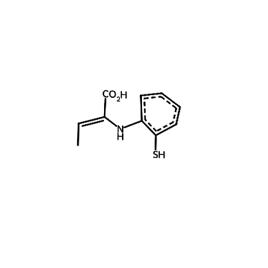 C/C=C(\Nc1ccccc1S)C(=O)O